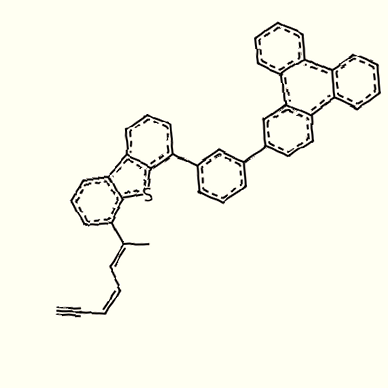 C#C/C=C\C=C(/C)c1cccc2c1sc1c(-c3cccc(-c4ccc5c6ccccc6c6ccccc6c5c4)c3)cccc12